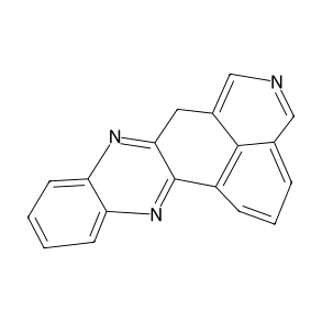 c1cc2c3c(cncc3c1)Cc1nc3ccccc3nc1-2